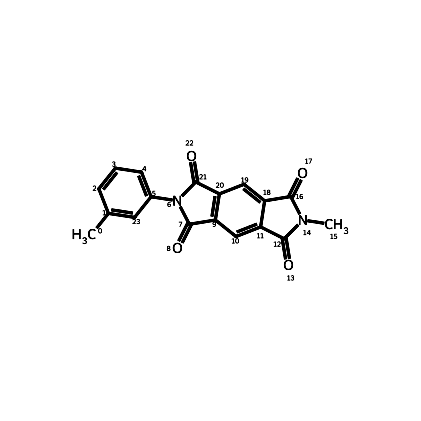 Cc1cccc(-n2c(=O)c3cc4c(=O)n(C)c(=O)c4cc3c2=O)c1